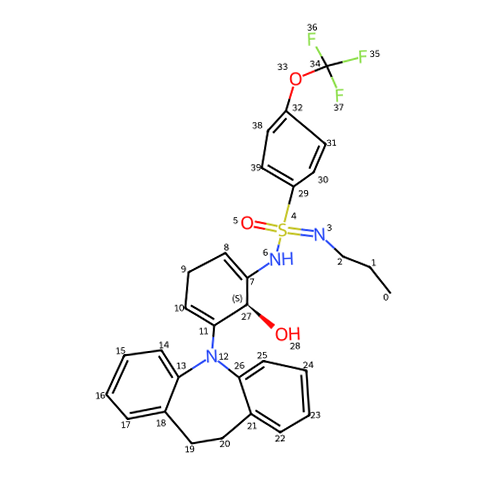 CCCN=S(=O)(NC1=CCC=C(N2c3ccccc3CCc3ccccc32)[C@@H]1O)c1ccc(OC(F)(F)F)cc1